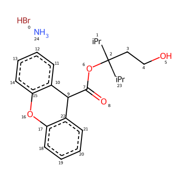 Br.CC(C)C(CCO)(OC(=O)C1c2ccccc2Oc2ccccc21)C(C)C.N